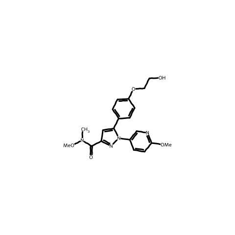 COc1ccc(-n2nc(C(=O)N(C)OC)cc2-c2ccc(OCCO)cc2)cn1